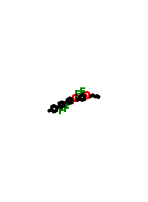 C=CCCCOc1ccc(COc2ccc(-c3ccc(C4CCC(C)CC4)c(F)c3F)cc2)c(F)c1F